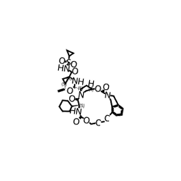 C=C[C@@H]1C[C@]1(NC(=O)[C@@H]1C[C@@H]2CN1C(=O)[C@H](C1CCCCC1)NC(=O)OCCCCc1cccc3c1CN(C3)C(=O)O2)C(=O)NS(=O)(=O)C1CC1